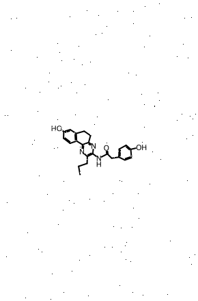 CCCc1nc2c(nc1NC(=O)Cc1ccc(O)cc1)CCc1cc(O)ccc1-2